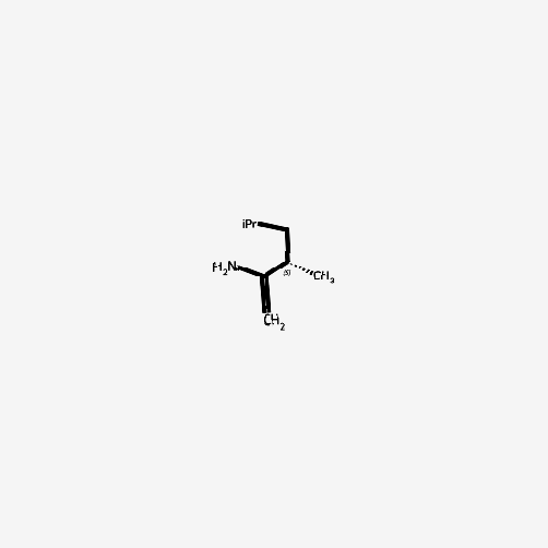 C=C(N)[C@@H](C)CC(C)C